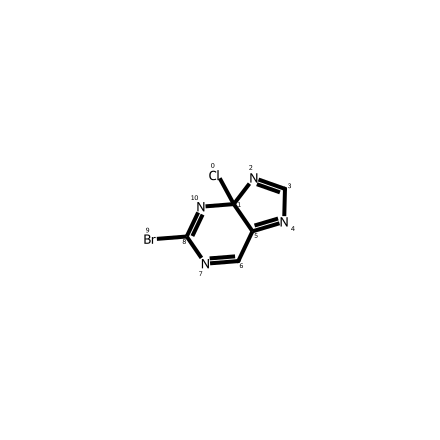 ClC12N=CN=C1C=NC(Br)=N2